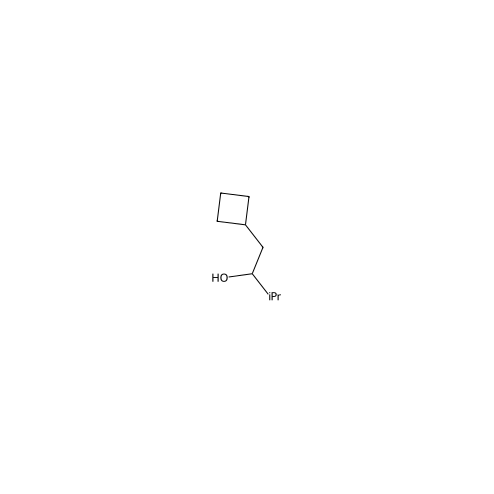 CC(C)C(O)CC1CCC1